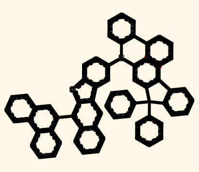 c1ccc(-c2ccccc2N(c2ccc3c(c2)C(c2ccccc2)(c2ccccc2)c2ccccc2-3)c2ccc3oc4c(-c5cc6ccccc6c6ccccc56)c5ccccc5cc4c3c2)cc1